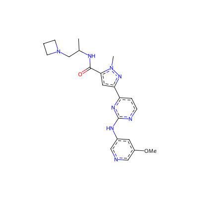 COc1cncc(Nc2nccc(-c3cc(C(=O)NC(C)CN4CCC4)n(C)n3)n2)c1